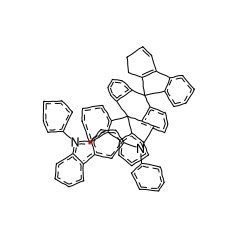 C1=CC2=C(CC1)C1(c3ccccc32)c2ccccc2C2(c3ccccc3-c3ccccc32)c2c(N(c3ccccc3)c3ccc4c(c3)c3ccccc3n4-c3ccccc3)cccc21